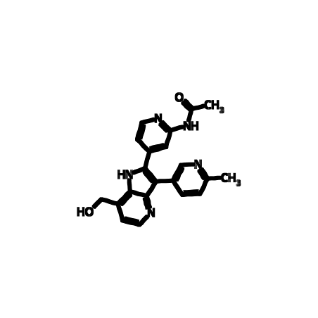 CC(=O)Nc1cc(-c2[nH]c3c(CO)ccnc3c2-c2ccc(C)nc2)ccn1